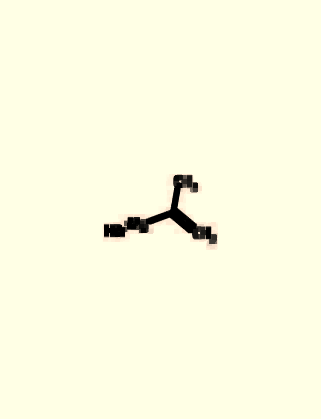 Br.C=[C](C)[Mg]